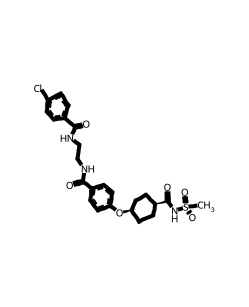 CS(=O)(=O)NC(=O)[C@H]1CC[C@@H](Oc2ccc(C(=O)NCCNC(=O)c3ccc(Cl)cc3)cc2)CC1